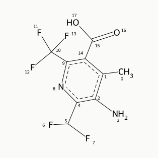 Cc1c(N)c(C(F)F)nc(C(F)(F)F)c1C(=O)O